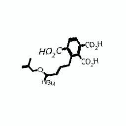 C=C(C)COC(CCCC)CCCc1c(C(=O)O)ccc(C(=O)O)c1C(=O)O